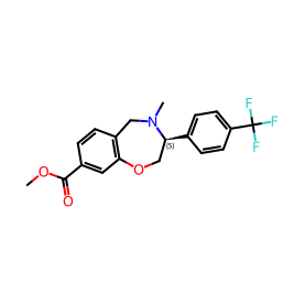 COC(=O)c1ccc2c(c1)OC[C@H](c1ccc(C(F)(F)F)cc1)N(C)C2